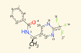 C[C@@H](NC(=O)c1ccccc1)c1cnc(C(F)(F)F)nc1